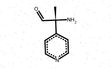 C[C@](N)(C=O)c1ccncc1